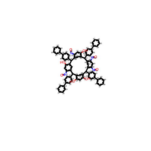 O=Nc1cc(O)c2cc1C(c1ccc(-c3ccccc3)cc1)c1cc(c(O)cc1O)C(c1ccc(-c3ccccc3)cc1)c1cc(c(N=O)cc1N=O)C(c1ccc(-c3ccccc3)cc1)c1cc(c(N=O)cc1O)C2c1ccc(-c2ccccc2)cc1